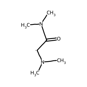 CN(C)[CH]C(=O)N(C)C